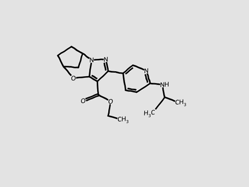 CCOC(=O)c1c(-c2ccc(NC(C)C)nc2)nn2c1OC1CCC2C1